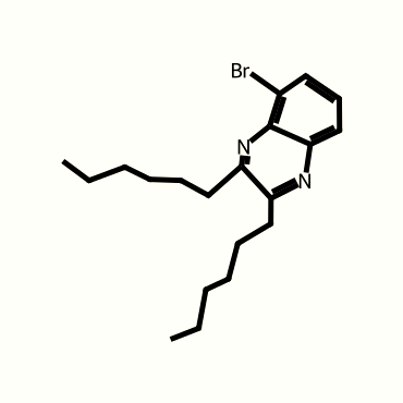 CCCCCCc1nc2cccc(Br)c2nc1CCCCCC